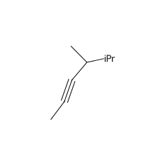 CC#CC(C)C(C)C